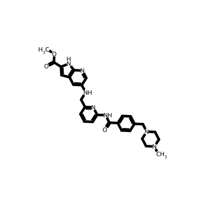 COC(=O)c1cc2cc(NCc3cccc(NC(=O)c4ccc(CN5CCN(C)CC5)cc4)n3)cnc2[nH]1